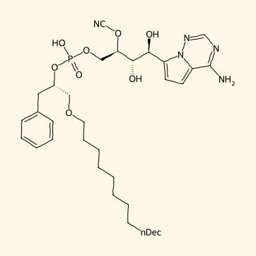 CCCCCCCCCCCCCCCCCCOC[C@H](Cc1ccccc1)OP(=O)(O)OC[C@@H](OC#N)[C@@H](O)[C@@H](O)c1ccc2c(N)ncnn12